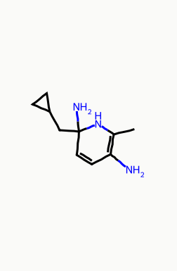 CC1=C(N)C=CC(N)(CC2CC2)N1